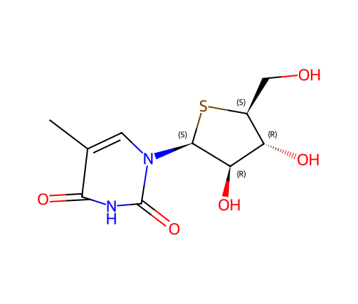 Cc1cn([C@H]2S[C@@H](CO)[C@H](O)[C@H]2O)c(=O)[nH]c1=O